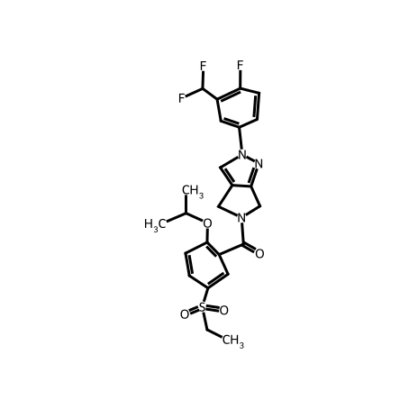 CCS(=O)(=O)c1ccc(OC(C)C)c(C(=O)N2Cc3cn(-c4ccc(F)c(C(F)F)c4)nc3C2)c1